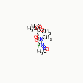 CCn1cc(C(=O)C=Cc2cc(OC)c(OC)c(OC)c2)c(=O)c2cc(F)c(N3CCN(C(C)=O)CC3)cc21